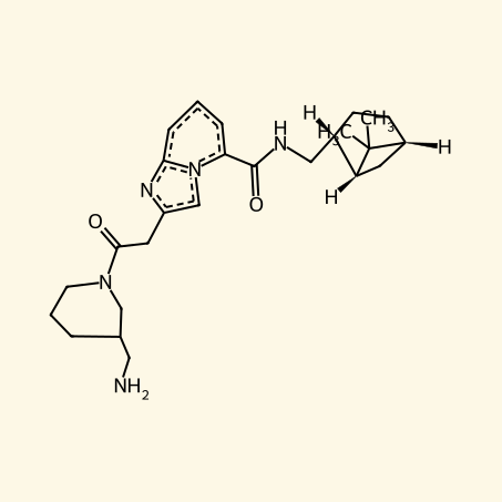 CC1(C)[C@@H]2CC[C@@H](CNC(=O)c3cccc4nc(CC(=O)N5CCCC(CN)C5)cn34)[C@H]1C2